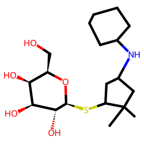 CC1(C)CC(NC2CCCCC2)CC1S[C@@H]1O[C@H](CO)[C@H](O)[C@H](O)[C@H]1O